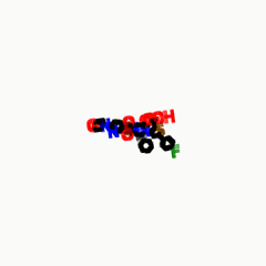 O=C(O)c1sc(-c2ccc(F)cc2)cc1N1C(=O)CN(S(=O)(=O)c2ccc(N3CC4CC3CO4)nc2)C[C@H]1C1CCCCC1